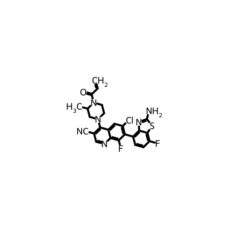 C=CC(=O)N1CCN(c2c(C#N)cnc3c(F)c(-c4ccc(F)c5sc(N)nc45)c(Cl)cc23)CC1C